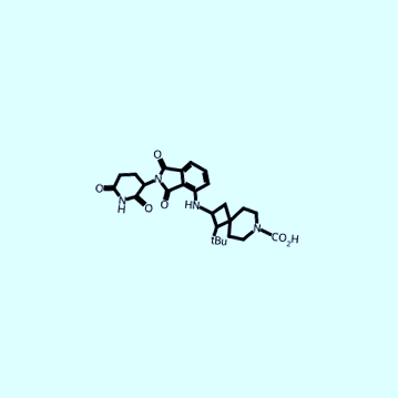 CC(C)(C)C1C(Nc2cccc3c2C(=O)N(C2CCC(=O)NC2=O)C3=O)CC12CCN(C(=O)O)CC2